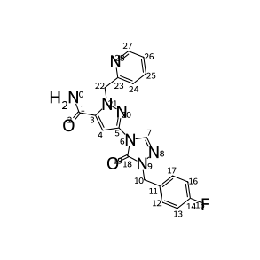 NC(=O)c1cc(-n2cnn(Cc3ccc(F)cc3)c2=O)nn1Cc1ccccn1